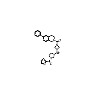 O=C(c1nccs1)N1CCC(NC2CN(C(=O)N3CCc4cc(-c5ccccc5)ccc4C3)C2)C1